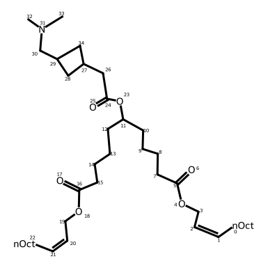 CCCCCCCC/C=C\COC(=O)CCCCC(CCCCC(=O)OC/C=C\CCCCCCCC)OC(=O)CC1CC(CN(C)C)C1